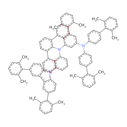 Cc1cccc(C)c1-c1ccc(N(c2ccc(-c3c(C)cccc3C)cc2)c2cc(-c3c(C)cccc3C)cc(N(c3cccc(-n4c5ccc(-c6c(C)cccc6C)cc5c5cc(-c6c(C)cccc6C)ccc54)c3)c3c(-c4ccccc4)cccc3-c3ccccc3)c2)cc1